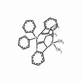 CCC1=C2c3ccccc3[CH]1[Zr]([CH3])([CH3])[CH]1C(CC)=C(c3ccccc31)[Si]2(c1ccccc1)c1ccccc1